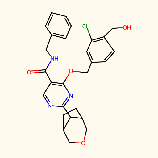 O=C(NCc1ccccc1)c1cnc(C2C3CCC2COC3)nc1OCc1ccc(CO)c(Cl)c1